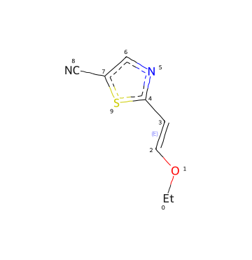 CCO/C=C/c1ncc(C#N)s1